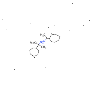 COC(C)(/N=N/C(C)C1CCCCCC1)C1CCCCCC1